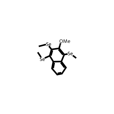 COc1c([Se]C)c([Se]C)c2ccccc2c1[Se]C